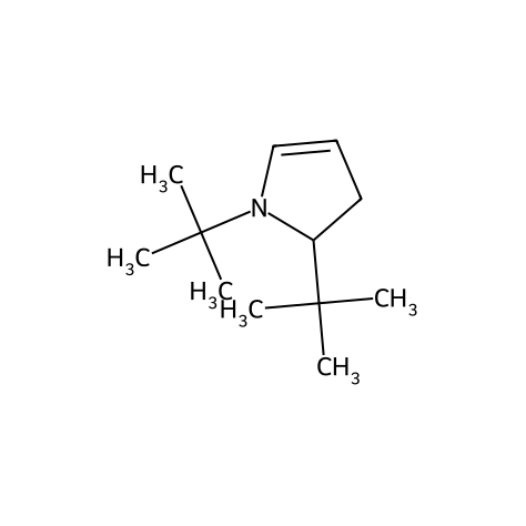 CC(C)(C)C1CC=CN1C(C)(C)C